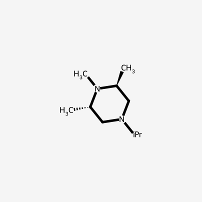 CC(C)N1C[C@H](C)N(C)[C@@H](C)C1